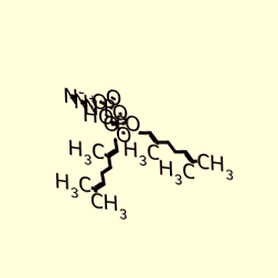 CC(C)=CCC/C(C)=C/COP(=O)(OC/C=C(\C)CCC=C(C)C)OP(=O)(O)ON=[N+]=[N-]